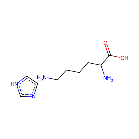 NCCCCC(N)C(=O)O.c1c[nH]cn1